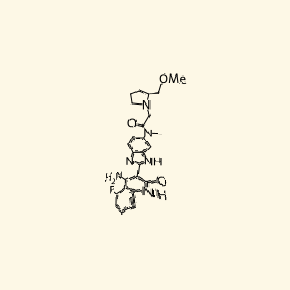 COC[C@@H]1CCCN1CC(=O)N(C)c1ccc2nc(-c3c(N)c4c(F)cccc4[nH]c3=O)[nH]c2c1